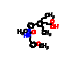 CCCc1cc(-c2cccc(N(C)C(=O)NCCc3cccc(OC)c3)c2)cc(CCC)c1CCC(=O)O